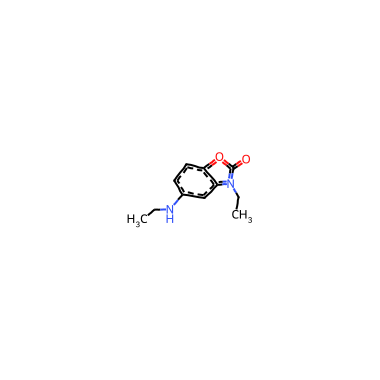 CCNc1ccc2oc(=O)n(CC)c2c1